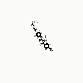 CCCCCOc1ccc(NC(=S)NC(=O)c2ccc(C#N)cc2)cc1